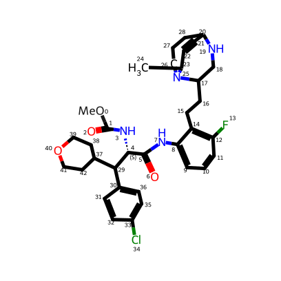 COC(=O)N[C@H](C(=O)Nc1cccc(F)c1CCC1CNC2C#CC(C)N1CCC2)C(c1ccc(Cl)cc1)C1CCOCC1